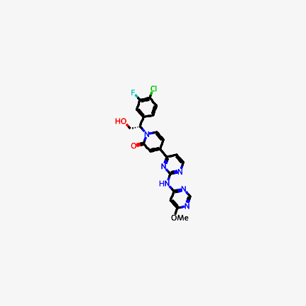 COc1cc(Nc2nccc(-c3ccn([C@H](CO)c4ccc(Cl)c(F)c4)c(=O)c3)n2)ncn1